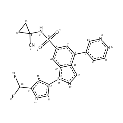 N#CC1(NS(=O)(=O)c2cc(-c3ccnnc3)c3cnn(-c4nnc(C(F)F)s4)c3c2)CC1